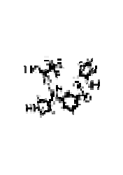 CN(c1cccc(S(=O)(=O)Nc2cscn2)c1)C1CCNC1.O=C(O)C(F)(F)F